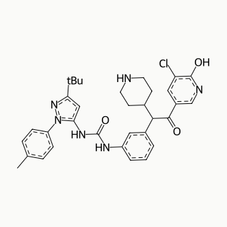 Cc1ccc(-n2nc(C(C)(C)C)cc2NC(=O)Nc2cccc(C(C(=O)c3cnc(O)c(Cl)c3)C3CCNCC3)c2)cc1